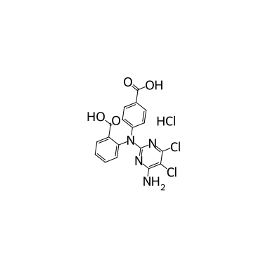 Cl.Nc1nc(N(c2ccc(C(=O)O)cc2)c2ccccc2C(=O)O)nc(Cl)c1Cl